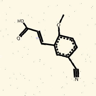 COc1ccc(C#N)cc1/C=C/C(=O)O